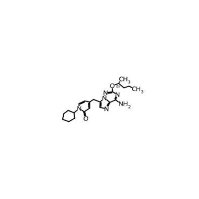 CCC[C@H](C)Oc1nc(N)c2ncc(Cc3ccn(C4CCCCC4)c(=O)c3)n2n1